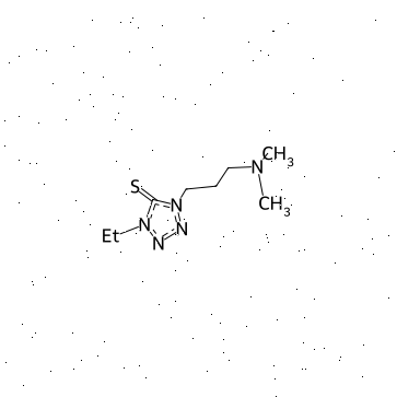 CCn1nnn(CCCN(C)C)c1=S